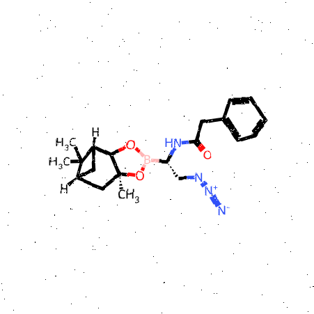 CC1(C)[C@@H]2C[C@H]1C1OB([C@@H](CN=[N+]=[N-])NC(=O)Cc3ccccc3)O[C@@]1(C)C2